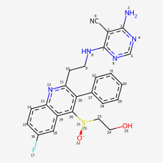 N#Cc1c(N)ncnc1NCCc1nc2ccc(F)cc2c([S@+]([O-])CCO)c1-c1ccccc1